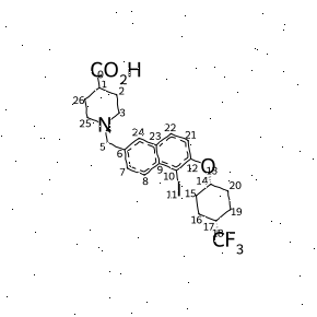 O=C(O)C1CCN(Cc2ccc3c(I)c(O[C@H]4CC[C@@H](C(F)(F)F)CC4)ccc3c2)CC1